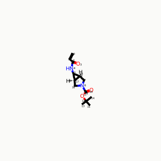 C=CC(=O)NC1[C@H]2CN(C(=O)OC(C)(C)C)C[C@@H]12